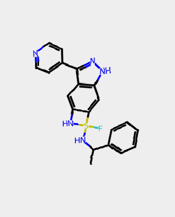 CC(NS1(F)Nc2cc3c(-c4ccncc4)n[nH]c3cc21)c1ccccc1